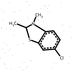 CC1Sc2cc(Cl)ccc2N1C